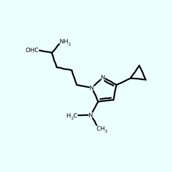 CN(C)c1cc(C2CC2)nn1CCCC(N)C=O